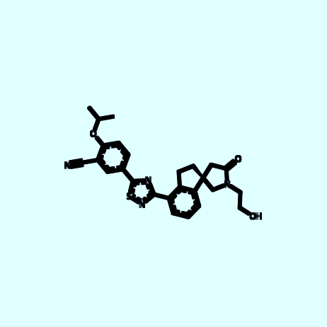 CC(C)Oc1ccc(-c2nc(-c3cccc4c3CC[C@]43CC(=O)N(CCO)C3)ns2)cc1C#N